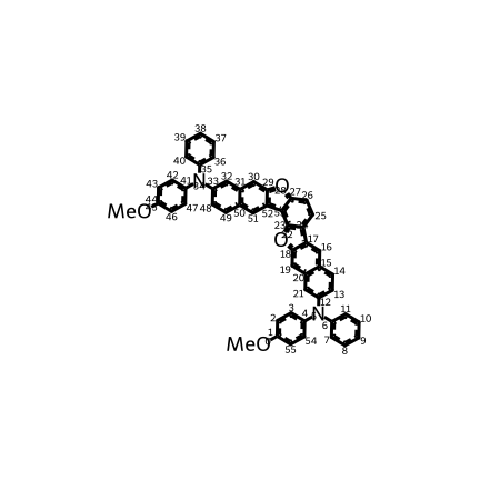 COc1ccc(N(c2ccccc2)c2ccc3cc4c(cc3c2)oc2c4ccc3oc4cc5cc(N(c6ccccc6)c6ccc(OC)cc6)ccc5cc4c32)cc1